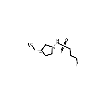 CC[C@H]1CC[C@@H](NS(=O)(=O)CCCF)C1